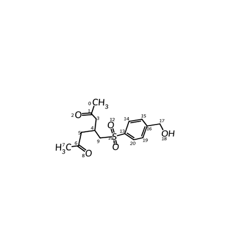 CC(=O)CC(CC(C)=O)CS(=O)(=O)c1ccc(CO)cc1